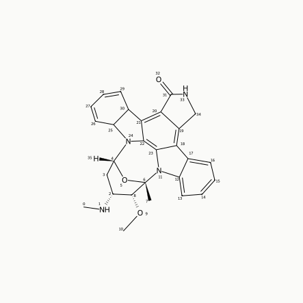 CN[C@@H]1C[C@H]2O[C@@](C)([C@@H]1OC)n1c3ccccc3c3c4c(c5c(c31)N2C1C=CC=CC51)C(=O)NC4